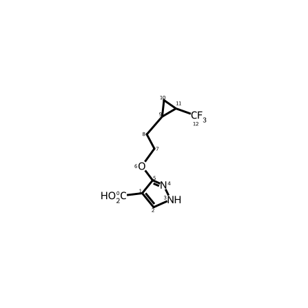 O=C(O)c1c[nH]nc1OCCC1CC1C(F)(F)F